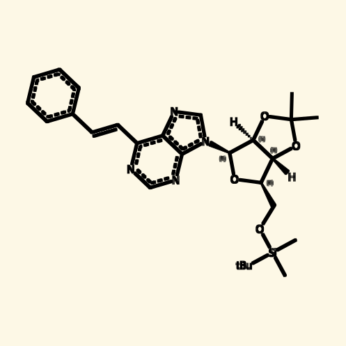 CC1(C)O[C@H]2[C@H](O1)[C@@H](CO[Si](C)(C)C(C)(C)C)O[C@H]2n1cnc2c(C=Cc3ccccc3)ncnc21